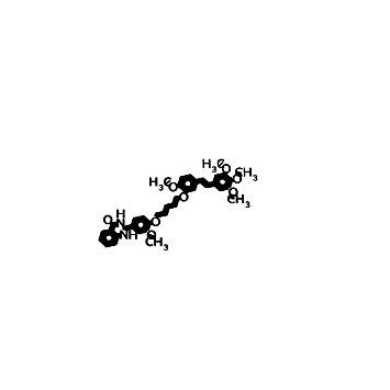 COc1cc(C2NC(=O)c3ccccc3N2)ccc1OCCCCCOc1cc(C=Cc2cc(OC)c(OC)c(OC)c2)ccc1OC